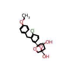 CCOc1ccc(Cc2cc([C@]34C[C@@H](O)C[C@](CO)(CO3)O4)ccc2Cl)cc1